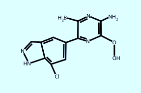 Bc1nc(N)c(OO)nc1-c1cc(Cl)c2[nH]ncc2c1